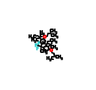 C=CC(c1ccc(OCC=C(C)C)c(C(C)(C)CC)c1)(c1ccc(OCC=C(C)C)c(C(C)(C)CC)c1)C(F)(F)F